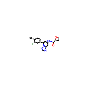 N#Cc1ccc(-c2cc(NC(=O)C3CCO3)cc3ncnn23)cc1F